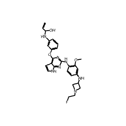 C=CC(O)Nc1cccc(Oc2nc(Nc3ccc(NC4CN(CCF)C4)cc3OC)nc3[nH]ccc23)c1